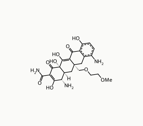 COCCOC[C@@]12Cc3c(N)ccc(O)c3C(=O)C1=C(O)[C@]1(O)C(=O)C(C(N)=O)=C(O)[C@@H](N)[C@@H]1C2